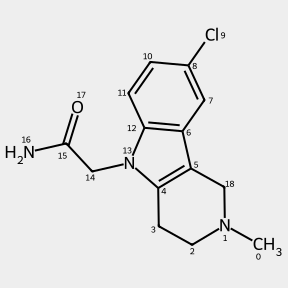 CN1CCc2c(c3cc(Cl)ccc3n2CC(N)=O)C1